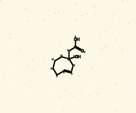 O=C(O)CC1(O)C/C=C/CCCC1